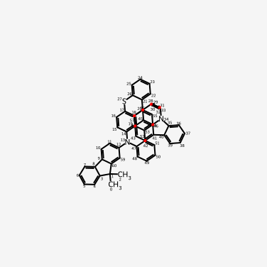 CC1(C)c2ccccc2-c2ccc(N(c3ccc4c(c3)C3(c5ccccc5S4)c4ccccc4-n4c5ccccc5c5cccc3c54)c3ccccc3-c3ccccc3)cc21